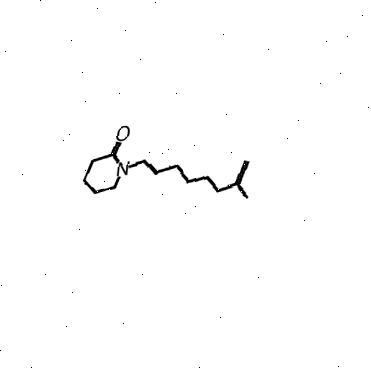 C=C(C)CCCCCCN1CCCCC1=O